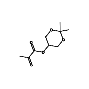 C=C(C)C(=O)OC1COC(C)(C)OC1